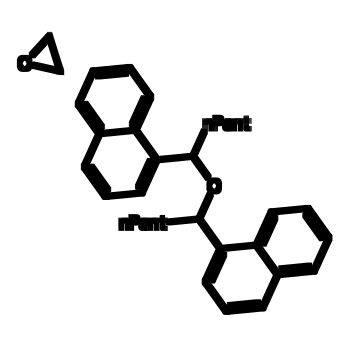 C1CO1.CCCCCC(OC(CCCCC)c1cccc2ccccc12)c1cccc2ccccc12